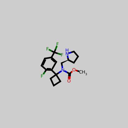 COC(=O)N(C[C@@H]1CCCN1)C1(c2cc(C(F)(F)F)ccc2F)CCC1